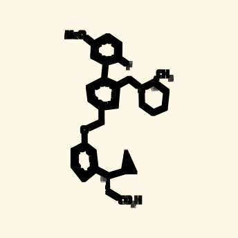 COc1ccc(F)c(-c2ccc(COc3cccc([C@@H](CC(=O)O)C4CC4)c3)cc2CN2CCCC[C@@H]2C)c1